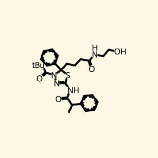 CC(C(=O)NC1=NN(C(=O)C(C)(C)C)C(CCCC(=O)NCCO)(c2ccccc2)S1)c1ccccc1